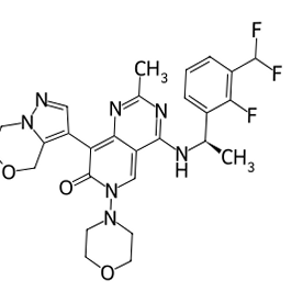 Cc1nc(N[C@H](C)c2cccc(C(F)F)c2F)c2cn(N3CCOCC3)c(=O)c(-c3cnn4c3COCC4)c2n1